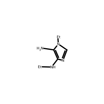 CCNc1ncn(CC)c1N